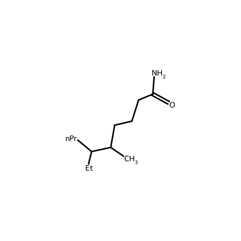 CCCC(CC)C(C)CCCC(N)=O